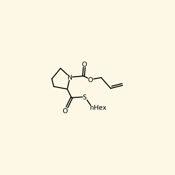 C=CCOC(=O)N1CCCC1C(=O)SCCCCCC